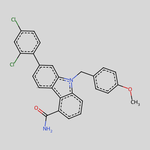 COc1ccc(Cn2c3cc(-c4ccc(Cl)cc4Cl)c[c]c3c3c(C(N)=O)cccc32)cc1